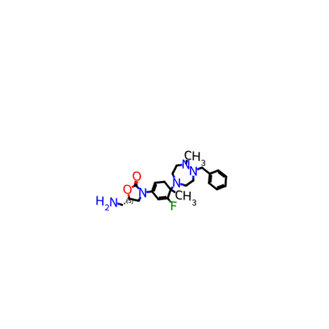 CN1CCN(C2(C)CC=C(N3C[C@H](CN)OC3=O)C=C2F)CCN1Cc1ccccc1